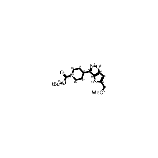 COCc1cc2onc(C3CCN(C(=O)OC(C)(C)C)CC3)c2s1